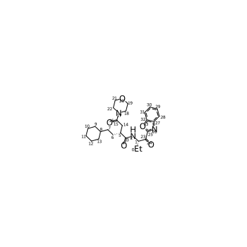 CC[C@H](NC(=O)[C@H](CCC1CCCCC1)CC(=O)N1CCOCC1)C(=O)c1nc2ccccc2o1